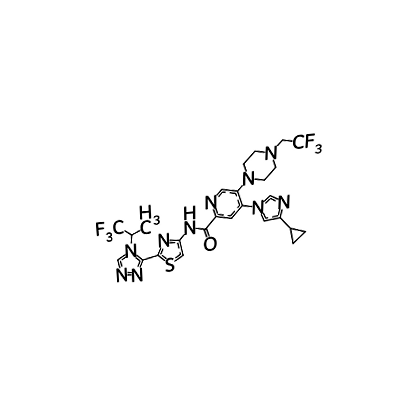 CC(n1cnnc1-c1nc(NC(=O)c2cc(-n3cnc(C4CC4)c3)c(N3CCN(CC(F)(F)F)CC3)cn2)cs1)C(F)(F)F